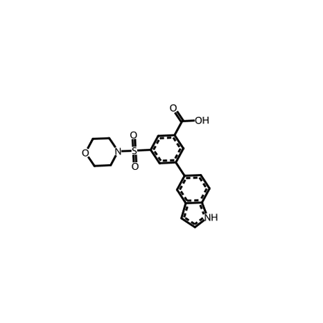 O=C(O)c1cc(-c2ccc3[nH]ccc3c2)cc(S(=O)(=O)N2CCOCC2)c1